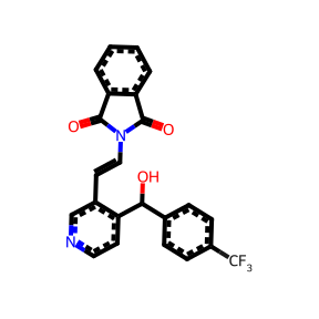 O=C1c2ccccc2C(=O)N1/C=C/c1cnccc1C(O)c1ccc(C(F)(F)F)cc1